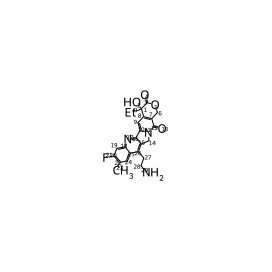 CCC1(O)C(=O)OCc2c1cc1n(c2=O)Cc2c-1nc1cc(F)c(C)cc1c2CCN